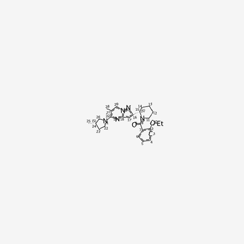 CCOc1ccccc1C(=O)N1CCCC[C@H]1c1cc2nc(N3CC[C@H](C)C3)c(C)cn2n1